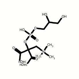 CCCCCCCCCCC(=O)C(C[N+](C)(C)C)(OP(=O)(O)OCC(O)CO)C(=O)CCCCCCCCCC